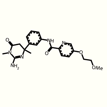 COCCOc1ccc(C(=O)Nc2cccc(C3(C)CC(=O)N(C)C(N)=N3)c2)nc1